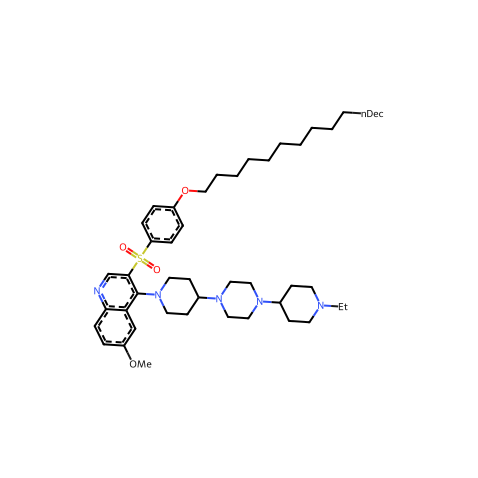 CCCCCCCCCCCCCCCCCCCCOc1ccc(S(=O)(=O)c2cnc3ccc(OC)cc3c2N2CCC(N3CCN(C4CCN(CC)CC4)CC3)CC2)cc1